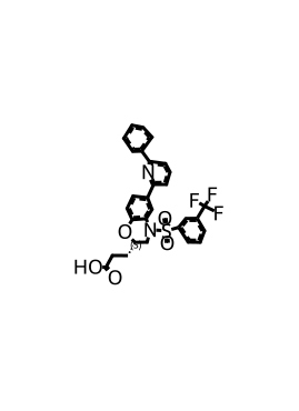 O=C(O)CC[C@H]1CN(S(=O)(=O)c2cccc(C(F)(F)F)c2)c2cc(-c3cccc(-c4ccccc4)n3)ccc2O1